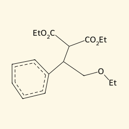 CCOCC(c1ccccc1)C(C(=O)OCC)C(=O)OCC